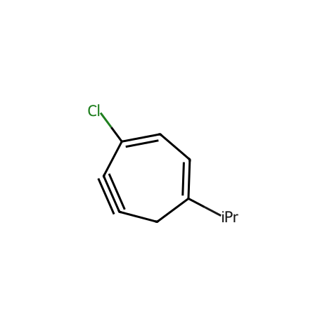 CC(C)C1=CC=C(Cl)C#CC1